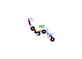 Cl.Cl.NCCCCOc1ccc(-c2cc3nccc(Oc4ccc(NC(=S)NC(=O)Cc5ccccc5)cc4F)c3s2)cc1